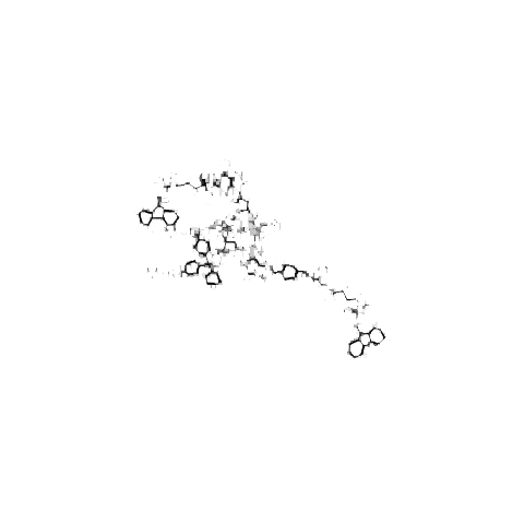 CCCOP(OC1C[C@H](n2cnc3c(=O)[nH]c(NC(=O)CCCN(C)C(=O)OCC4c5ccccc5-c5ccccc54)nc32)O[C@@H]1COP(=O)(OCCC)OC1C[C@H](n2cnc3c(NC(=O)c4ccc(CNC(=O)COC(=O)CCCN(C)C(=O)OCC5c6ccccc6-c6ccccc65)cc4)ncnc32)O[C@@H]1COC(c1ccccc1)(c1ccc(OC)cc1)c1ccc(OC)cc1)N(C(C)C)C(C)C